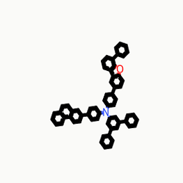 c1ccc(-c2cc(-c3ccccc3)cc(N(c3ccc(-c4ccc5c(ccc6ccccc65)c4)cc3)c3ccc(-c4ccc5oc6c(-c7ccccc7)cccc6c5c4)cc3)c2)cc1